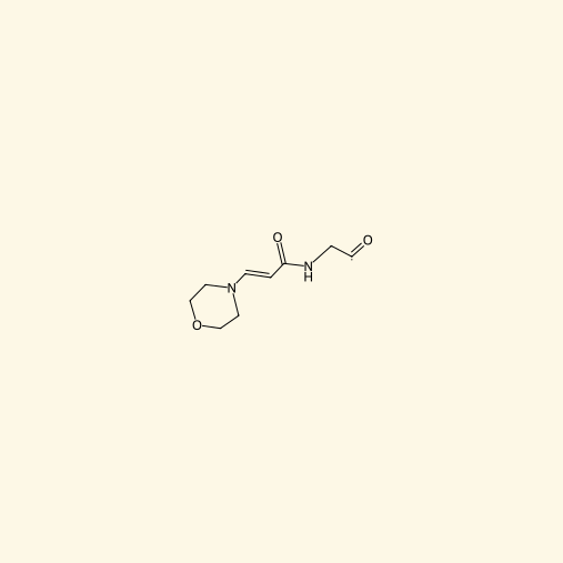 O=[C]CNC(=O)C=CN1CCOCC1